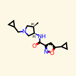 C[C@@H]1CN(CC2CC2)C[C@@H]1NC(=O)c1cc(C2CC2)on1